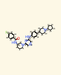 O=C(N[C@@H]1CCCN(c2cncc(Nc3ccc(C4CCN(C5CCCC5)CC4)cc3)n2)C1)c1ccc(F)cc1